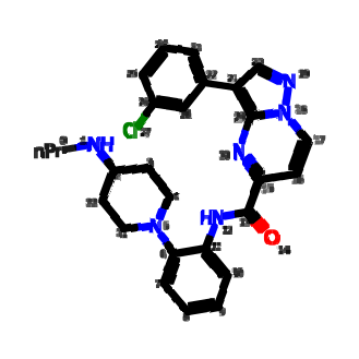 CCCNC1CCN(c2ccccc2NC(=O)c2ccn3ncc(-c4cccc(Cl)c4)c3n2)CC1